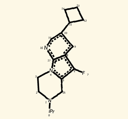 CC(C)N1CCn2c(c(F)c3cc(C4CCC4)cnc32)C1